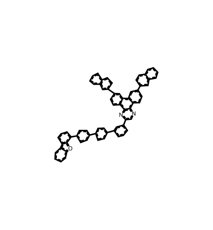 c1cc(-c2ccc(-c3ccc(-c4cccc5c4oc4ccccc45)cc3)cc2)cc(-c2cnc3c4ccc(-c5ccc6ccccc6c5)cc4c4cc(-c5ccc6ccccc6c5)ccc4c3n2)c1